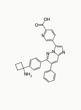 NC1(c2ccc(-c3nn4c(-c5ccc(C(=O)O)nc5)cnc4cc3-c3ccccc3)cc2)CCC1